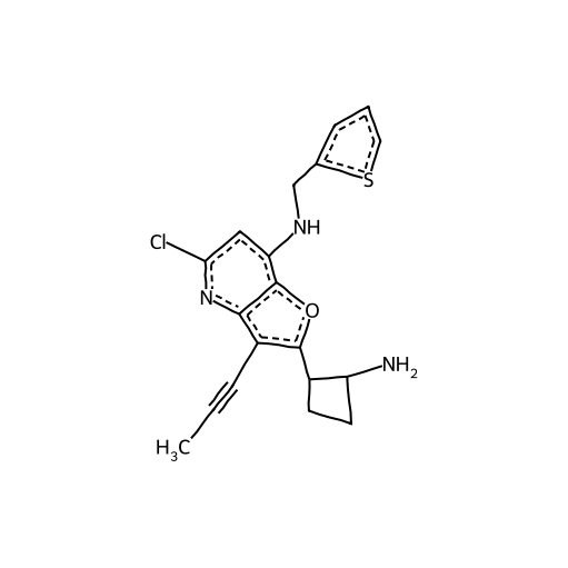 CC#Cc1c(C2CCC2N)oc2c(NCc3cccs3)cc(Cl)nc12